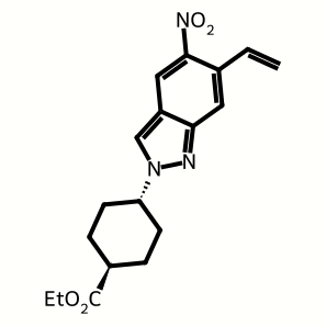 C=Cc1cc2nn([C@H]3CC[C@H](C(=O)OCC)CC3)cc2cc1[N+](=O)[O-]